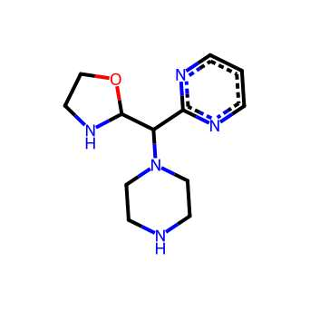 c1cnc(C(C2NCCO2)N2CCNCC2)nc1